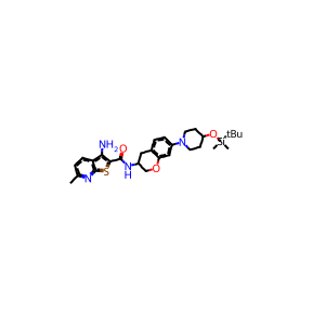 Cc1ccc2c(N)c(C(=O)NC3COc4cc(N5CCC(O[Si](C)(C)C(C)(C)C)CC5)ccc4C3)sc2n1